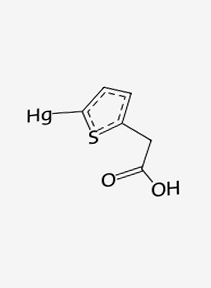 O=C(O)Cc1cc[c]([Hg])s1